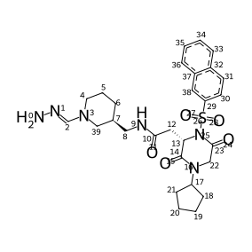 NN=CN1CCC[C@@H](CNC(=O)C[C@H]2C(=O)N(C3CCCC3)CC(=O)N2S(=O)(=O)c2ccc3ccccc3c2)C1